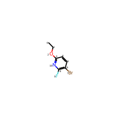 CCOc1ccc(Br)c(F)n1